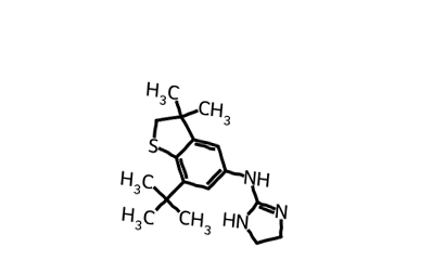 CC(C)(C)c1cc(NC2=NCCN2)cc2c1SCC2(C)C